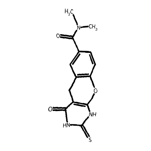 CN(C)C(=O)c1ccc2c(c1)Cc1c([nH]c(=S)[nH]c1=O)O2